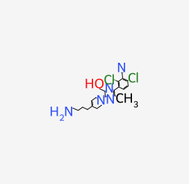 Cc1nc(N2CC=C(CCCCN)CC2)c(CO)nc1-c1ccc(Cl)c(C#N)c1Cl